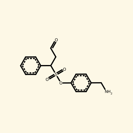 NCc1ccc(OS(=O)(=O)C(CC=O)c2ccccc2)cc1